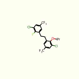 CC(C)Oc1c(Cl)cc(C(F)(F)F)cc1[CH]Cc1cc(C(F)(F)F)cc(Cl)c1F